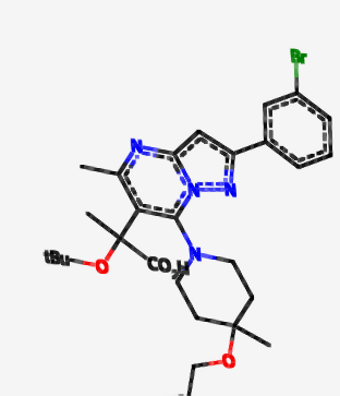 C=CCOC1(C)CCN(c2c(C(C)(OC(C)(C)C)C(=O)O)c(C)nc3cc(-c4cccc(Br)c4)nn23)CC1